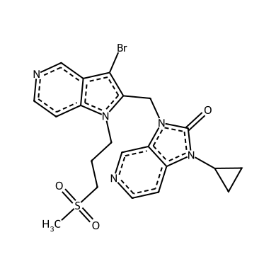 CS(=O)(=O)CCCn1c(Cn2c(=O)n(C3CC3)c3ccncc32)c(Br)c2cnccc21